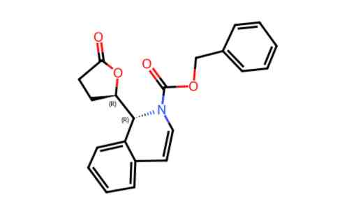 O=C1CC[C@H]([C@H]2c3ccccc3C=CN2C(=O)OCc2ccccc2)O1